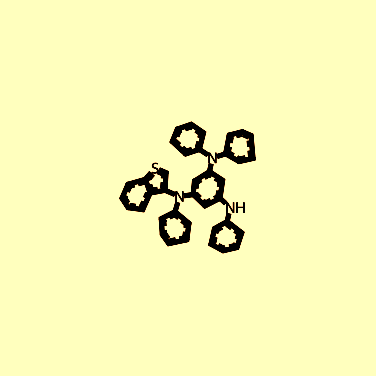 c1ccc(Nc2cc(N(c3ccccc3)c3ccccc3)cc(N(c3ccccc3)c3csc4ccccc34)c2)cc1